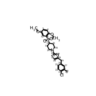 COc1ccc(OC)c(S(=O)(=O)C2CCN(c3nc(Cc4ccc(Cl)c(F)c4)cs3)CC2)c1